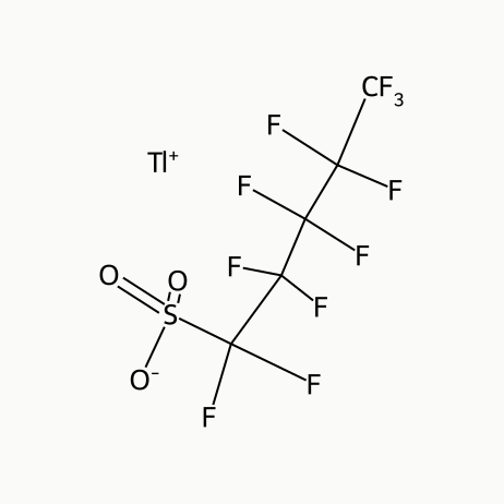 O=S(=O)([O-])C(F)(F)C(F)(F)C(F)(F)C(F)(F)C(F)(F)F.[Tl+]